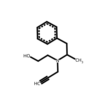 C#CCN(CCO)C(C)Cc1ccccc1